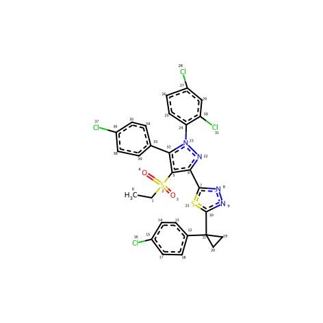 CCS(=O)(=O)c1c(-c2nnc(C3(c4ccc(Cl)cc4)CC3)s2)nn(-c2ccc(Cl)cc2Cl)c1-c1ccc(Cl)cc1